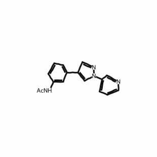 CC(=O)Nc1cccc(-c2cnn(-c3cccnc3)c2)c1